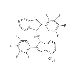 Fc1cc(C2=Cc3ccccc3[CH]2[Hf+2][CH]2C(c3cc(F)c(F)c(F)c3F)=Cc3ccccc32)c(F)c(F)c1F.[Cl-].[Cl-]